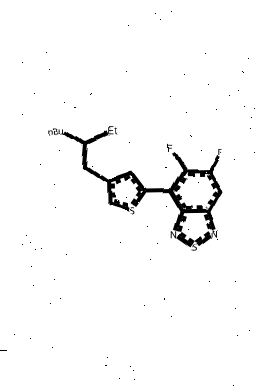 CCCCC(CC)Cc1csc(-c2c(F)c(F)cc3nsnc23)c1